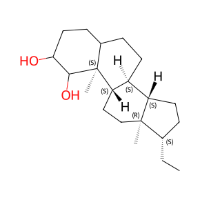 CC[C@H]1CC[C@H]2[C@@H]3CCC4CCC(O)C(O)[C@]4(C)[C@H]3CC[C@]12C